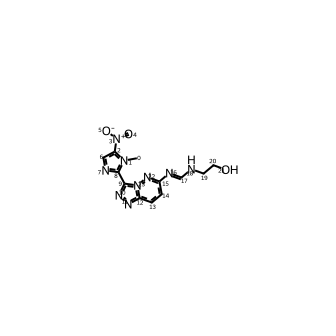 Cn1c([N+](=O)[O-])cnc1-c1nnc2ccc(N=CNCCO)nn12